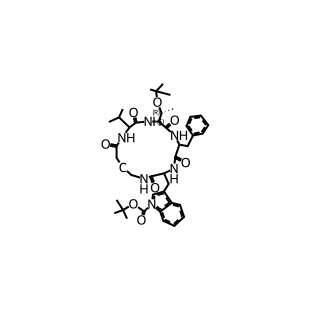 CC(C)C1NC(=O)CCCNC(=O)C(Cc2cn(C(=O)OC(C)(C)C)c3ccccc23)NC(=O)C(Cc2ccccc2)NC(=O)[C@H]([C@@H](C)OC(C)(C)C)NC1=O